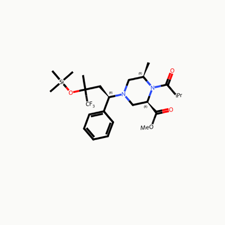 COC(=O)[C@H]1CN([C@H](CC(C)(O[Si](C)(C)C)C(F)(F)F)c2ccccc2)C[C@@H](C)N1C(=O)C(C)C